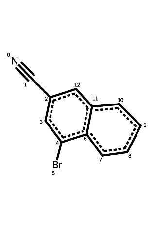 N#Cc1cc(Br)c2ccccc2c1